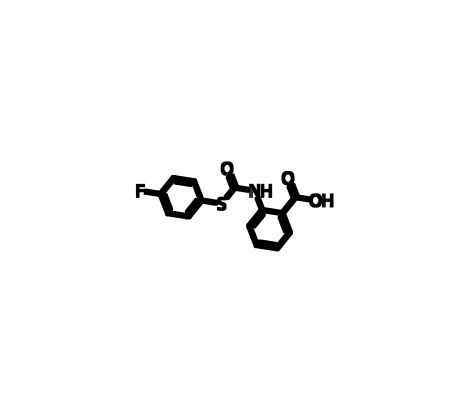 O=C(Nc1ccccc1C(=O)O)Sc1ccc(F)cc1